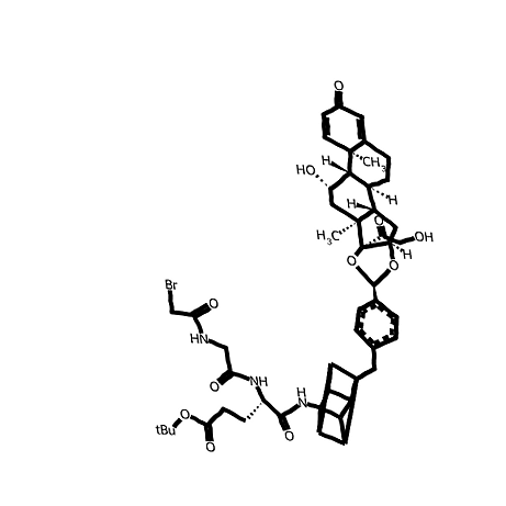 CC(C)(C)OC(=O)CC[C@H](NC(=O)CNC(=O)CBr)C(=O)NC12C3C4C1C1C2C3C41Cc1ccc([C@@H]2O[C@@H]3C[C@H]4[C@@H]5CCC6=CC(=O)C=C[C@]6(C)[C@H]5[C@@H](O)C[C@]4(C)[C@]3(C(=O)CO)O2)cc1